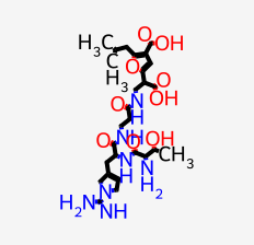 CC(C)Cc1oc(C(CNC(=O)CCNC(=O)C(CC2=CCN(C(=N)N)C2)NC(=O)C(N)C(C)O)C(=O)O)cc1C(=O)O